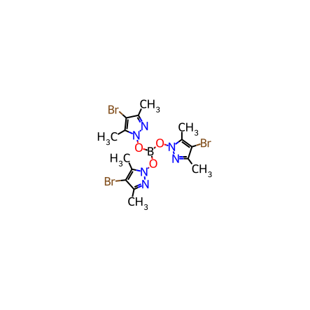 Cc1nn(OB(On2nc(C)c(Br)c2C)On2nc(C)c(Br)c2C)c(C)c1Br